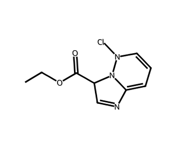 CCOC(=O)C1C=NC2=CC=CN(Cl)N21